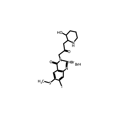 Br.Br.CSc1cc2c(=O)n(CC(=O)CC3NCCCC3O)cnc2cc1I